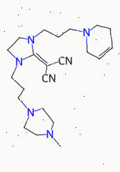 CN1CCN(CCCN2CCN(CCCN3CC=CCC3)C2=C(C#N)C#N)CC1